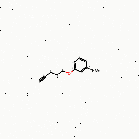 C#CCCCOc1cccc(NC)c1